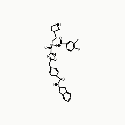 O=C(NC1Cc2ccccc2C1)c1ccc(Cc2nc(C(=O)[C@H](CCC3CCNC3)NC(=O)c3ccc(F)c(F)c3)no2)cc1